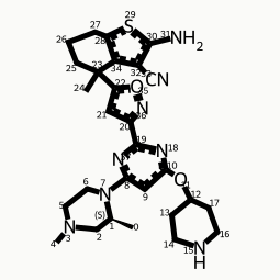 C[C@H]1CN(C)CCN1c1cc(OC2CCNCC2)nc(-c2cc(C3(C)CCCc4sc(N)c(C#N)c43)on2)n1